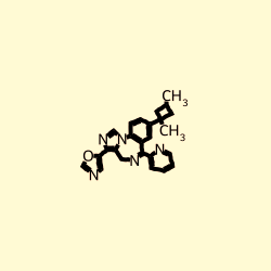 CC1CC(C)(c2ccc3c(c2)C(c2ccccn2)=NCc2c(-c4cnco4)ncn2-3)C1